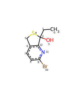 CCC1(O)SCc2ccc(Br)nc21